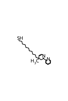 CC1(CCCCCCCCCCCS)C=CN=C(c2ccccn2)C1